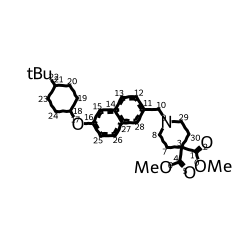 COC(=O)C1(C(=O)OC)CCN(Cc2ccc3cc(OC4CCC(C(C)(C)C)CC4)ccc3c2)CC1